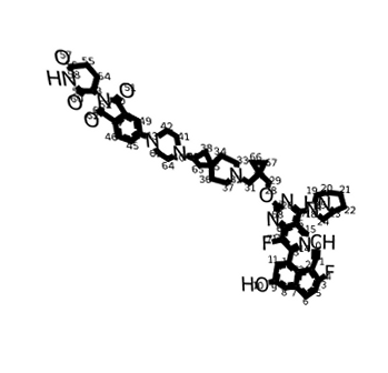 C#Cc1c(F)ccc2cc(O)cc(-c3ncc4c(N5CC6CCC(C5)N6)nc(OCC5(CN6CCC7(CC6)CC(N6CCN(c8ccc9c(c8)C(=O)N(C8CCC(=O)NC8=O)C9=O)CC6)C7)CC5)nc4c3F)c12